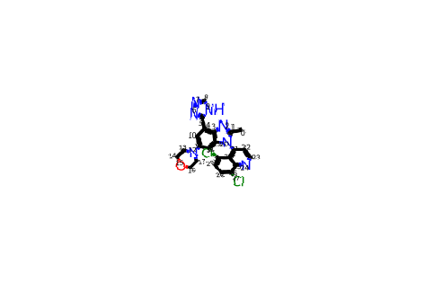 Cc1nc2c(-c3nnc[nH]3)cc(N3CCOCC3)cc2n1-c1ccnc2c(Cl)ccc(Cl)c12